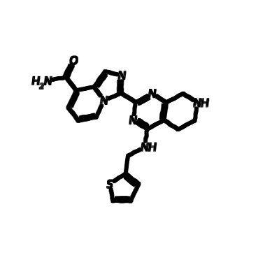 NC(=O)c1cccn2c(-c3nc4c(c(NCc5cccs5)n3)CCNC4)ncc12